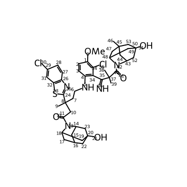 COc1ccc(NCCC(C)(CC(=O)N2C3CC4CC2CC(O)(C4)C3)c2nc3ccc(Cl)cc3s2)c(C(=N)C(C)(C)C(=O)N2C3CC4(C)CC2CC(O)(C3)C4)c1Cl